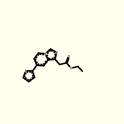 CCOC(=O)Cc1ncn2ccc(-c3cccs3)cc12